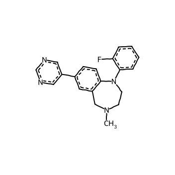 CN1CCN(c2ccccc2F)c2ccc(-c3cncnc3)cc2C1